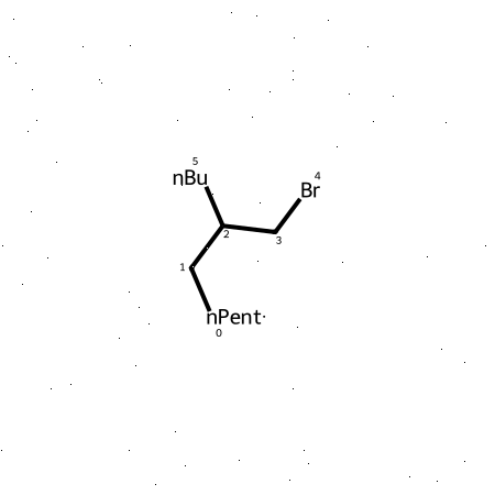 CCCC[CH]CC(CBr)CCCC